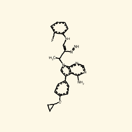 CC(/C(=C/Nc1ccccc1F)N=N)n1cc(-c2ccc(OC3CC3)cc2)c2c(N)ncnc21